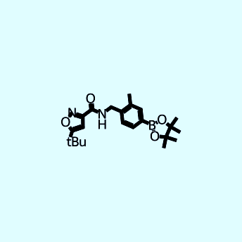 Cc1cc(B2OC(C)(C)C(C)(C)O2)ccc1CNC(=O)c1cc(C(C)(C)C)on1